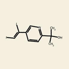 CC(C)(O)c1ccc(/C(I)=C/I)cn1